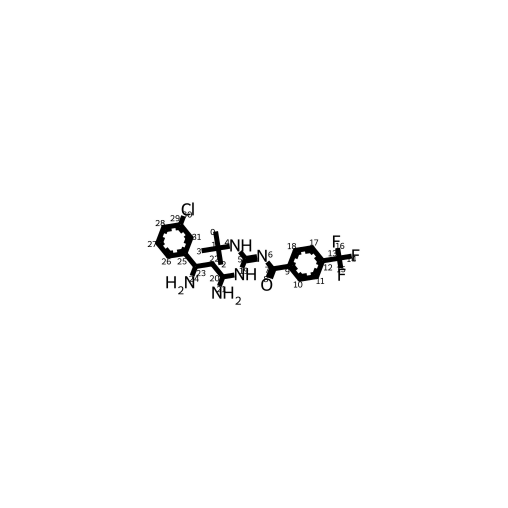 CC(C)(C)N/C(=N/C(=O)c1ccc(C(F)(F)F)cc1)NC(N)CC(N)c1cccc(Cl)c1